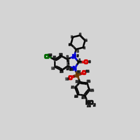 O=c1n(C2CCCCC2)c2cc(Cl)ccc2n1S(=O)(=O)c1ccc([N+](=O)[O-])cc1